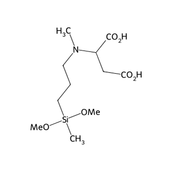 CO[Si](C)(CCCN(C)C(CC(=O)O)C(=O)O)OC